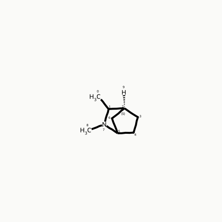 CC1[C@H]2CCC(C2)N1C